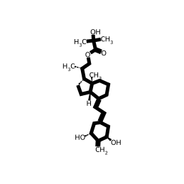 C=C1[C@H](O)CC(=C/C=C2\CCC[C@]3(C)[C@@H]([C@H](C)COC(=O)C(C)(C)O)CC[C@@H]23)C[C@H]1O